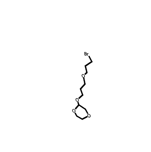 BrCCCOCCCOC1COCCO1